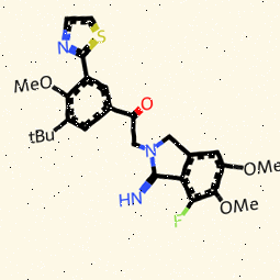 COc1cc2c(c(F)c1OC)C(=N)N(CC(=O)c1cc(-c3nccs3)c(OC)c(C(C)(C)C)c1)C2